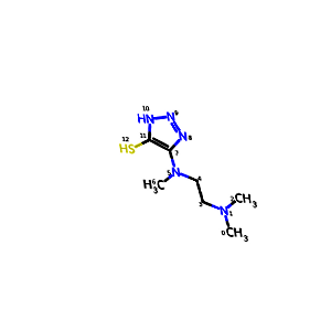 CN(C)CCN(C)c1nn[nH]c1S